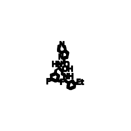 CCc1cccc(CNC[C@H](O)[C@H](Cc2cc(F)cc(F)c2)NC(=O)c2ccc3cnccc3n2)c1